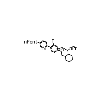 CCCCCc1ccc(-c2ccc(CC[C@@H]3CCCC[C@H]3C(CCC)CCC)cc2F)nc1